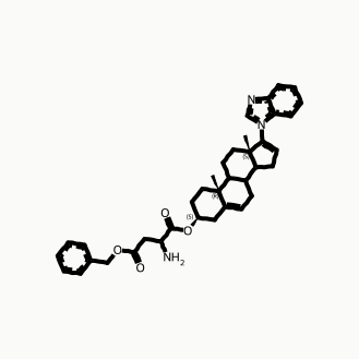 C[C@]12CC[C@H](OC(=O)C(N)CC(=O)OCc3ccccc3)CC1=CCC1C2CC[C@]2(C)C(n3cnc4ccccc43)=CCC12